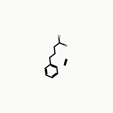 C=C.CCC(Br)CCCc1ccccc1